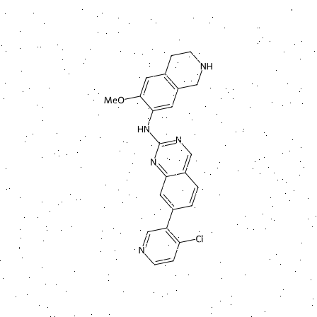 COc1cc2c(cc1Nc1ncc3ccc(-c4cnccc4Cl)cc3n1)CNCC2